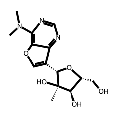 CN(C)c1ncnc2c([C@@H]3O[C@H](CO)[C@@H](O)[C@@]3(C)O)coc12